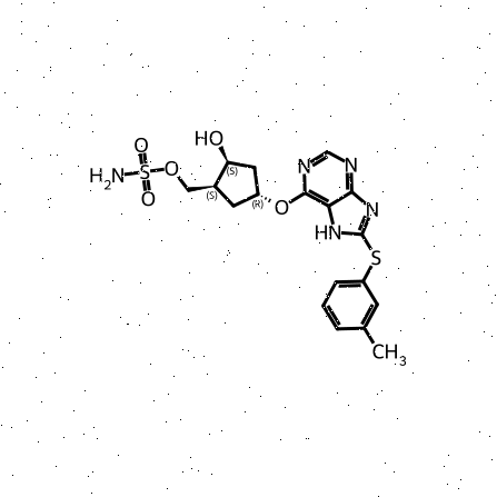 Cc1cccc(Sc2nc3ncnc(O[C@@H]4C[C@@H](COS(N)(=O)=O)[C@@H](O)C4)c3[nH]2)c1